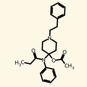 CCC(=O)N(c1ccccc1)C1(OC(C)=O)CCN(CCc2ccccc2)CC1